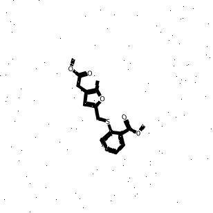 COC(=O)Cc1cc(CSc2ccccc2C(=O)OC)oc1C